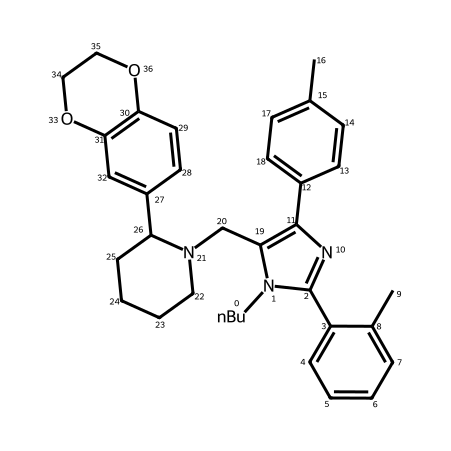 CCCCn1c(-c2ccccc2C)nc(-c2ccc(C)cc2)c1CN1CCCCC1c1ccc2c(c1)OCCO2